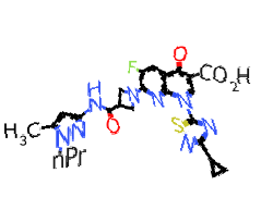 CCCn1nc(NC(=O)C2CN(c3nc4c(cc3F)c(=O)c(C(=O)O)cn4-c3nc(C4CC4)ns3)C2)cc1C